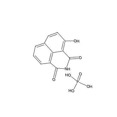 O=C1NC(=O)c2c(O)ccc3cccc1c23.O=P(O)(O)O